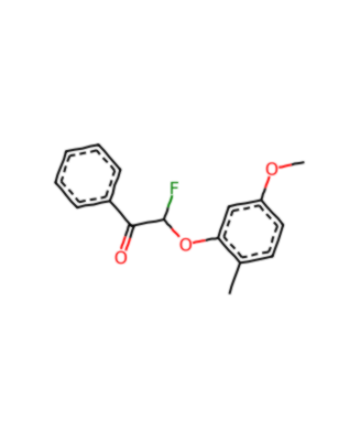 COc1ccc(C)c(OC(F)C(=O)c2ccccc2)c1